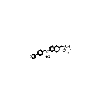 CN(C)CC1CCc2cc(OCc3ccc(-c4ccsc4)cc3)ccc2C1.Cl